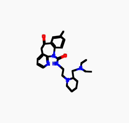 CCN(CC)CC1CCCCN1CCNC(=O)N1c2ccc(C)cc2C(=O)Cc2cccnc21